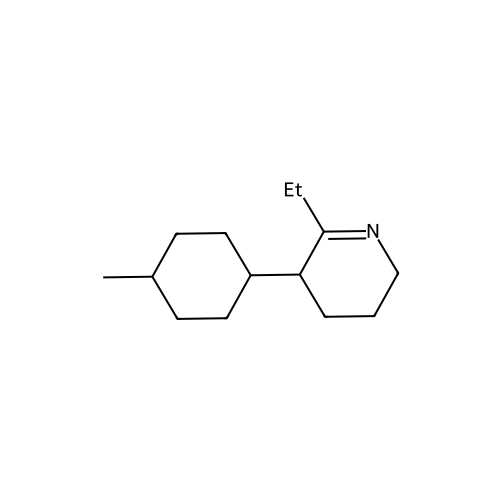 CCC1=NCCCC1C1CCC(C)CC1